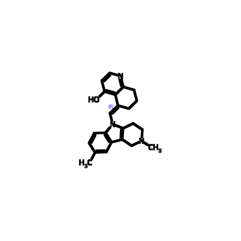 Cc1ccc2c(c1)c1c(n2/C=C2\CCCc3nccc(O)c32)CCN(C)C1